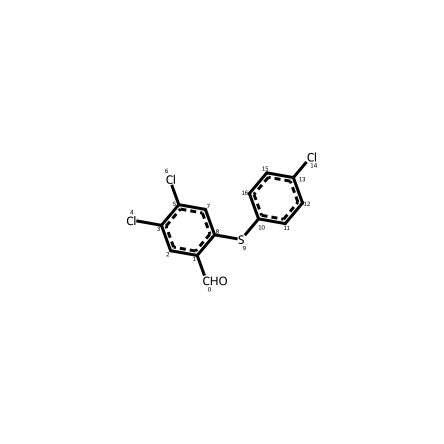 O=Cc1cc(Cl)c(Cl)cc1Sc1ccc(Cl)cc1